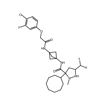 CN1NC(C(F)F)CC1(C(=O)NC12CC(NC(=O)COc3ccc(Cl)c(F)c3)(C1)C2)C1CCCCCCC1